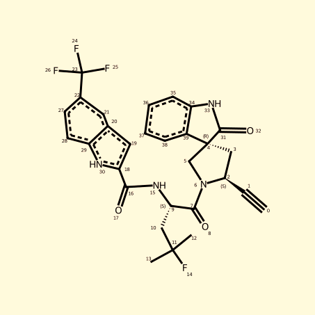 C#C[C@@H]1C[C@@]2(CN1C(=O)[C@H](CC(C)(C)F)NC(=O)c1cc3cc(C(F)(F)F)ccc3[nH]1)C(=O)Nc1ccccc12